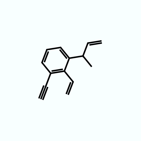 C#Cc1cccc([C](C)C=C)c1C=C